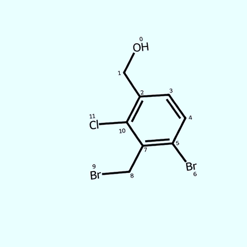 OCc1ccc(Br)c(CBr)c1Cl